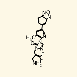 Cc1cc(-c2ccc3nonc3c2)cnc1-n1cnn(CC(CN)=C(F)F)c1=O